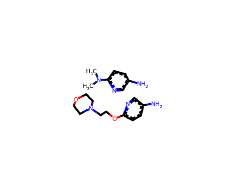 CN(C)c1ccc(N)cn1.Nc1ccc(OCCN2CCOCC2)nc1